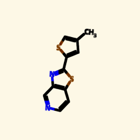 Cc1csc(-c2nc3cnccc3s2)c1